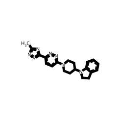 Cc1nsc(-c2ccc(N3CCC(N4CCc5ccccc54)CC3)nn2)n1